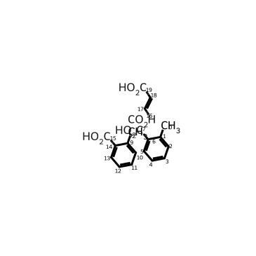 Cc1ccccc1C(=O)O.Cc1ccccc1C(=O)O.O=C(O)/C=C/C(=O)O